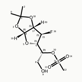 CC1(C)O[C@H]2O[C@@H]([C@@H](CO)OS(C)(=O)=O)[C@H](F)[C@H]2O1